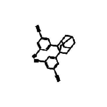 C#Cc1cc(C#C)cc(C2C3CC4CC(C3)CC2(c2cc(C#C)cc(C#C)c2)C4)c1